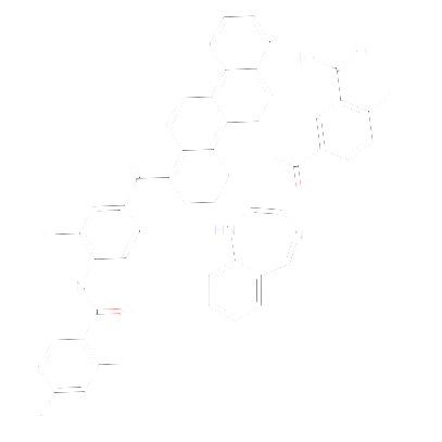 C1=CNc2ccccc2C=N1.Cc1cc(C(=O)C2=c3ccc4c(c3CCC2)CC=c2ccccc2=4)ccc1NC(=O)c1ccc(Cl)cc1Cl.Cc1ccc(C(=O)O)cc1C(=O)O